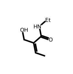 C/C=C(/CO)C(=O)NCC